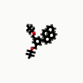 CC(C)(C)[Si](C)(C)OCc1cc(CO[Si](C)(C)C(C)(C)C)cc(-c2ccc3ccc4cccc5ccc2c3c45)c1